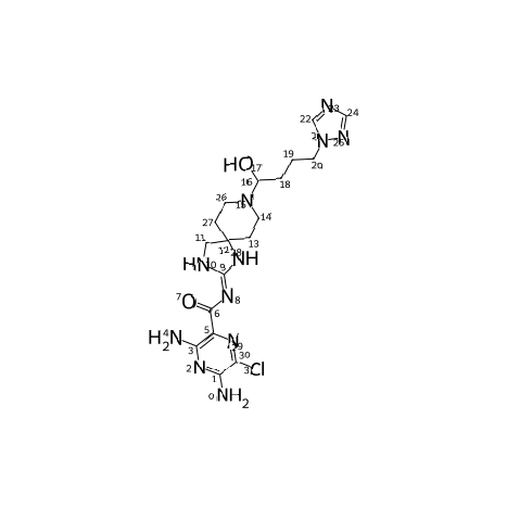 Nc1nc(N)c(C(=O)/N=C2\NCC3(CCN(C(O)CCCn4cncn4)CC3)N2)nc1Cl